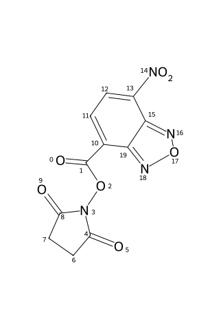 O=C(ON1C(=O)CCC1=O)c1ccc([N+](=O)[O-])c2nonc12